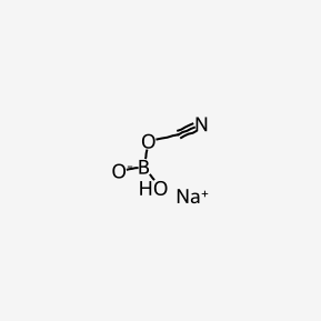 N#COB([O-])O.[Na+]